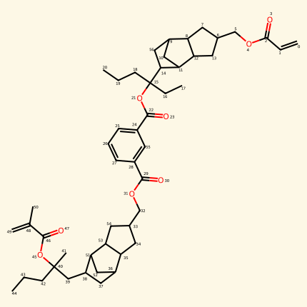 C=CC(=O)OCC1CC2C3CC(C2C1)C(C(CC)(CCC)OC(=O)c1cccc(C(=O)OCC2CC4C5CC(CC(C)(CCC)OC(=O)C(=C)C)C(C5)C4C2)c1)C3